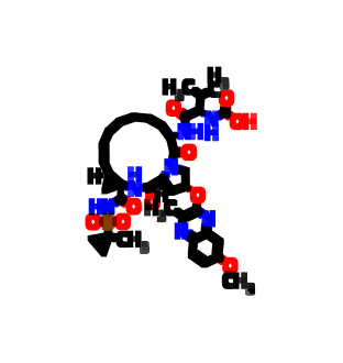 COc1ccc2nc(C)c(O[C@@H]3C[C@H]4C(=O)N[C@]5(C(=O)NS(=O)(=O)C6(C)CC6)C[C@H]5/C=C\CCCCC[C@H](NC(=O)[C@@H](NC(=O)O)C(C)C)C(=O)N4C3)nc2c1